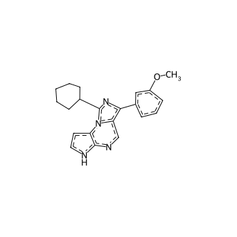 COc1cccc(-c2nc(C3CCCCC3)n3c2cnc2[nH]ccc23)c1